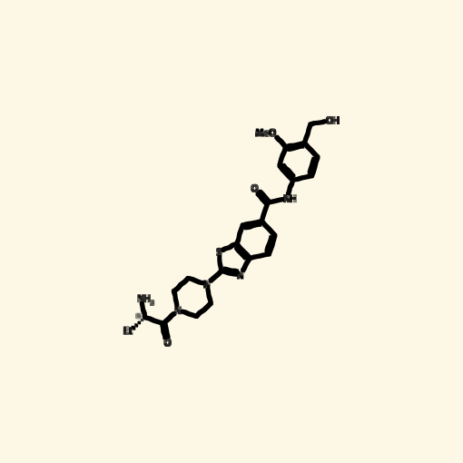 CC[C@H](N)C(=O)N1CCN(c2nc3ccc(C(=O)Nc4ccc(CO)c(OC)c4)cc3s2)CC1